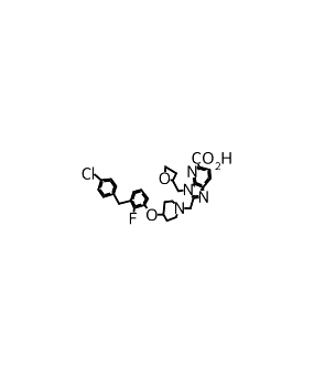 O=C(O)c1ccc2nc(CN3CCC(Oc4cccc(Cc5ccc(Cl)cc5)c4F)CC3)n(CC3CCO3)c2n1